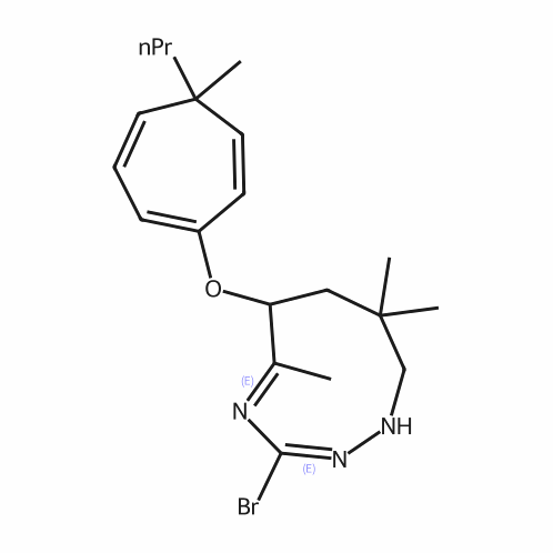 CCCC1(C)C=CC=C(OC2CC(C)(C)CN/N=C(Br)\N=C\2C)C=C1